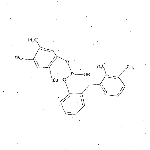 Cc1cc(OP(O)Oc2ccccc2Cc2cccc(C)c2C)c(C(C)(C)C)cc1C(C)(C)C